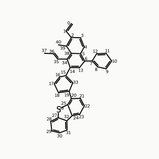 C=Cc1ccc2c(-c3ccccc3)cc(-c3cccc(-c4cccc5c4sc4ccccc45)c3)c(/C=C/C)c2c1C